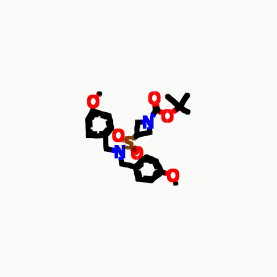 COc1ccc(CN(Cc2ccc(OC)cc2)S(=O)(=O)C2CN(C(=O)OC(C)(C)C)C2)cc1